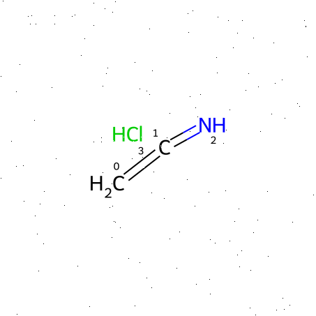 C=C=N.Cl